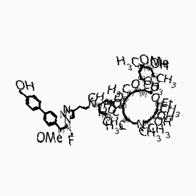 CC[C@H]1OC(=O)[C@H](C)[C@@H](O[C@H]2C[C@@](C)(OC)[C@@H](O)[C@H](C)O2)[C@H](C)[C@@H](O[C@H]2C[C@@H](N(C)CCc3cn([C@H](CF)[C@H](OC)c4ccc(-c5ccc(CO)cc5)cc4)nn3)C[C@@H](C)O2)[C@](C)(O)C[C@@H](C)CN(C)[C@H](C)[C@@H](O)[C@]1(C)O